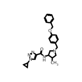 CC1CN(Cc2ccc(OCc3ccccc3)cc2)CC1NC(=O)c1cn(C2CC2)nn1